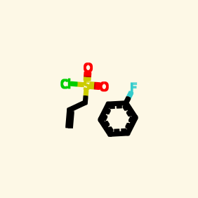 C=CCS(=O)(=O)Cl.Fc1ccccc1